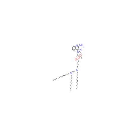 CCCCCCCCCCCCN(CCCCCCCCCCCC)CCCN(CCCCCCCCCCCC)CCCCCC(=O)OC(C)(C)Cn1c(COCC)nc2c(N)nc3ccccc3c21